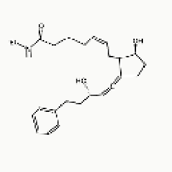 CCNC(=O)CCC/C=C\C[C@@H]1C(=C=C[C@@H](O)CCc2ccccc2)CC[C@@H]1O